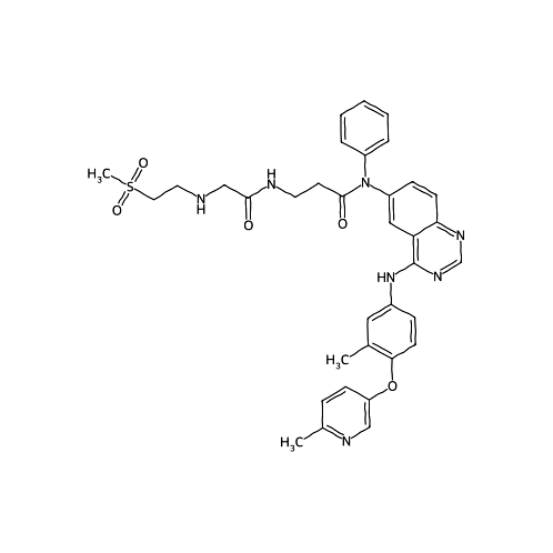 Cc1ccc(Oc2ccc(Nc3ncnc4ccc(N(C(=O)CCNC(=O)CNCCS(C)(=O)=O)c5ccccc5)cc34)cc2C)cn1